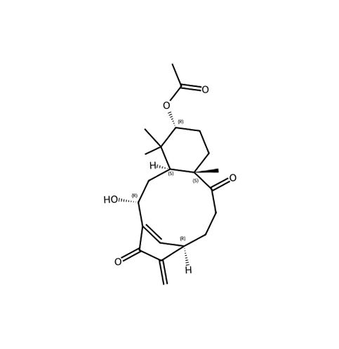 C=C1C(=O)C2=C[C@H]1CCC(=O)[C@@]1(C)CC[C@@H](OC(C)=O)C(C)(C)[C@@H]1C[C@H]2O